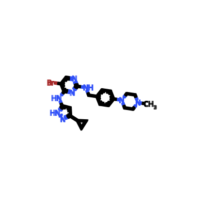 CN1CCN(c2ccc(CNc3ncc(Br)c(Nc4cc(C5CC5)n[nH]4)n3)cc2)CC1